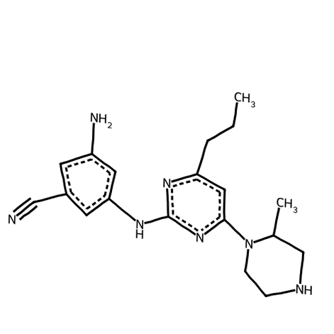 CCCc1cc(N2CCNCC2C)nc(Nc2cc(N)cc(C#N)c2)n1